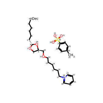 CCCCCCCCCCCCCCC[C@H]1OC[C@H](COCCCCCC[n+]2ccccc2)O1.Cc1ccc(S(=O)(=O)[O-])cc1